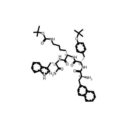 CC(C)(C)OC(=O)NCCCC[C@H](NC(=O)[C@H](Cc1ccc(OC(C)(C)C)cc1)NC(=O)[C@@H](N)Cc1ccc2ccccc2c1)C(=O)N[C@@H](Cc1c[nH]c2ccccc12)C(N)=O